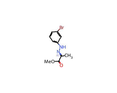 COC(=O)/C(C)=N/Nc1cccc(Br)c1